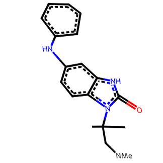 CNCC(C)(C)n1c(=O)[nH]c2cc(Nc3ccccc3)ccc21